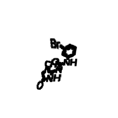 CN1CC(=O)NC1=NC(=O)Nc1cccc(Br)c1